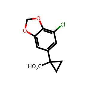 O=C(O)C1(c2cc(Cl)c3c(c2)OCO3)CC1